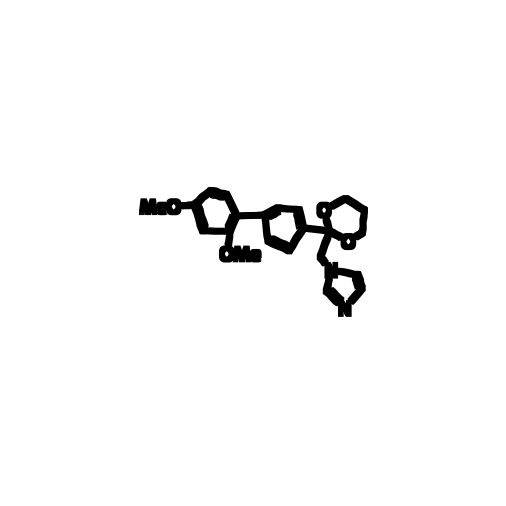 COc1ccc(-c2ccc(C3(Cn4ccnc4)OCCCO3)cc2)c(OC)c1